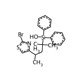 CC(CC(C)(C)[Si](O)(c1ccccc1)c1ccccc1)c1csc(Br)n1